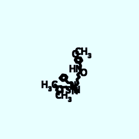 COc1ccc(CNC(=O)CCCCc2nnc(SCC3=CC(C)=CC(C)C3)n2CCc2ccccc2)cc1